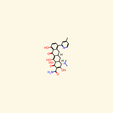 Cc1ccnc(-c2ccc(O)c3c2C[C@H]2C[C@H]4[C@H](N(C)C)C(O)=C(C(N)=O)C(=O)[C@@]4(O)C(O)=C2C3=O)c1